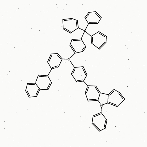 c1ccc(-n2c3ccccc3c3cc(-c4ccc(N(c5ccc(C(c6ccccc6)(c6ccccc6)c6ccccc6)cc5)c5cccc(-c6ccc7ccccc7c6)c5)cc4)ccc32)cc1